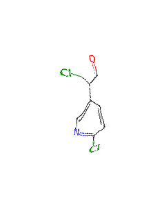 O=CC(Cl)c1ccc(Cl)nc1